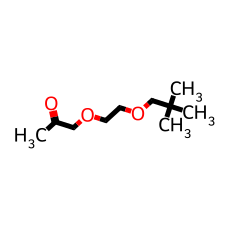 CC(=O)COCCOCC(C)(C)C